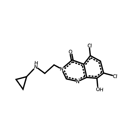 O=c1c2c(Cl)cc(Cl)c(O)c2ncn1CCNC1CC1